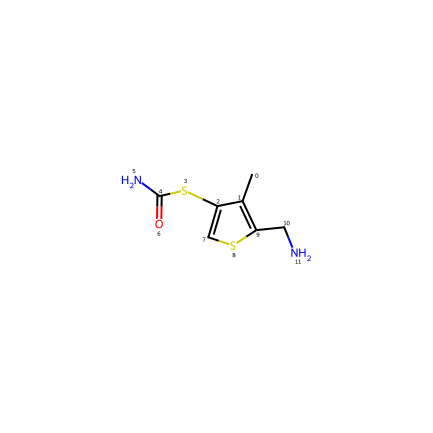 Cc1c(SC(N)=O)csc1CN